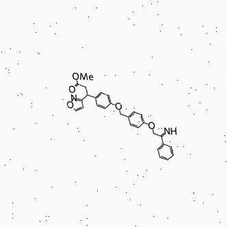 COC(=O)CC(c1ccc(OCc2ccc(OCC(=N)c3ccccc3)cc2)cc1)c1ccon1